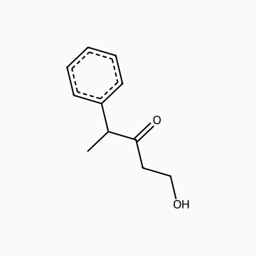 CC(C(=O)CCO)c1ccccc1